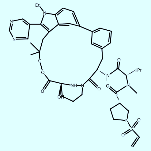 C=CS(=O)(=O)N1CC[C@H](C(=O)N(C)[C@H](C(=O)N[C@H]2Cc3cccc(c3)-c3ccc4c(c3)c(c(-c3cncnc3)n4CC)CC(C)(C)COC(=O)[C@@]3(O)CCCN(N3)C2=O)C(C)C)C1